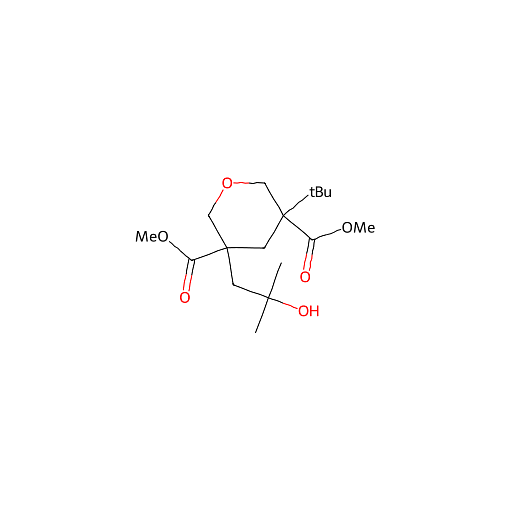 COC(=O)C1(CC(C)(C)O)COCC(C(=O)OC)(C(C)(C)C)C1